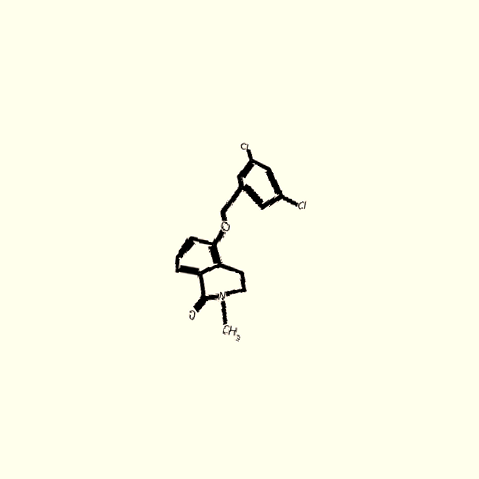 CN1CCc2c(OCc3cc(Cl)cc(Cl)c3)cccc2C1=O